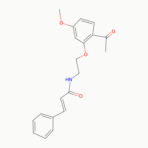 COc1ccc(C(C)=O)c(OCCNC(=O)C=Cc2ccccc2)c1